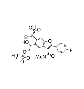 CCN(c1cc2oc(-c3ccc(F)cc3)c(C(=O)NC)c2cc1C(O)COS(C)(=O)=O)[SH](=O)=O